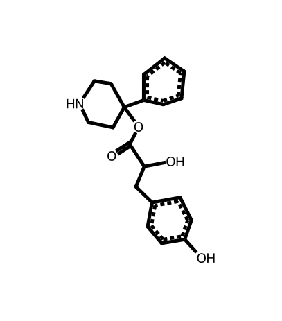 O=C(OC1(c2ccccc2)CCNCC1)C(O)Cc1ccc(O)cc1